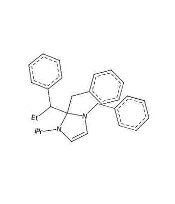 CCC(c1ccccc1)C1(Cc2ccccc2)N(Cc2ccccc2)C=CN1C(C)C